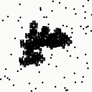 CC(C)(C)c1cc(Nc2nc(-c3ccccc3)ns2)cc(C(C)(C)C)c1O.CC(C)(C)c1cc(Nc2nccnn2)cc(C(C)(C)C)c1O.Cc1nnc(Nc2cc(C(C)(C)C)c(O)c(C(C)(C)C)c2)s1.Cc1sccc1Nc1cc(C(C)(C)C)c(O)c(C(C)(C)C)c1